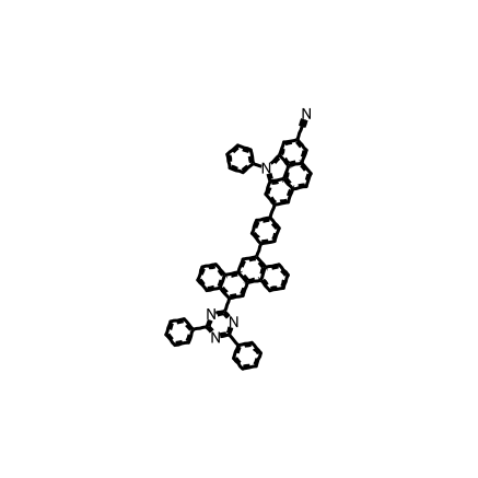 N#Cc1cc2ccc3cc(-c4ccc(-c5cc6c7ccccc7c(-c7nc(-c8ccccc8)nc(-c8ccccc8)n7)cc6c6ccccc56)cc4)cc4c3c2c(c1)n4-c1ccccc1